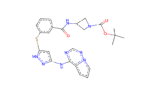 CC(C)(C)OC(=O)N1CC(NC(=O)c2cccc(Sc3cc(Nc4ncnn5cccc45)n[nH]3)c2)C1